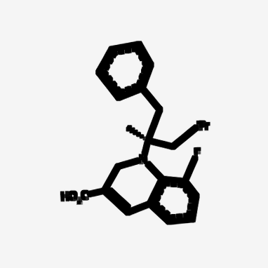 CC(C)C[C@](C)(Cc1ccccc1)N1CC(C(=O)O)=Cc2cccc(F)c21